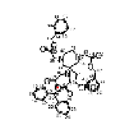 O=CCCC1(N(CC(=O)OCc2ccccc2)CC(=O)OCc2ccccc2)CN(CC(=O)OCc2ccccc2)CCN(CC(=O)OCc2ccccc2)C1